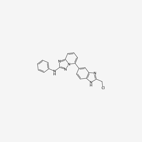 ClCc1nc2cc(-c3cccc4nc(Nc5ccccc5)nn34)ccc2[nH]1